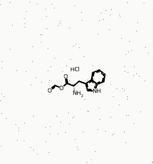 Cl.N[C@@H](Cc1c[nH]c2ccccc12)C(=O)OC=O